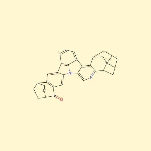 O=C1c2cc3c(cc2C2CCC1CC2)c1cccc2c4c5c(ncc4n3c12)C1CC2CC3CC5CC321